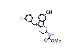 COC(=O)NC1CCc2c(c3cc(C#N)ccc3n2Cc2cccc(F)c2)C1